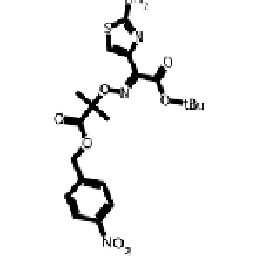 CC(C)(C)OC(=O)C(=NOC(C)(C)C(=O)OCc1ccc([N+](=O)[O-])cc1)c1csc(N)n1